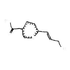 COC(=O)c1ccc(/C=C/CO)nc1